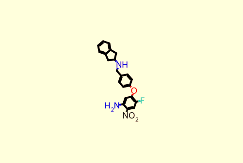 Nc1cc(Oc2ccc(CNC3Cc4ccccc4C3)cc2)c(F)cc1[N+](=O)[O-]